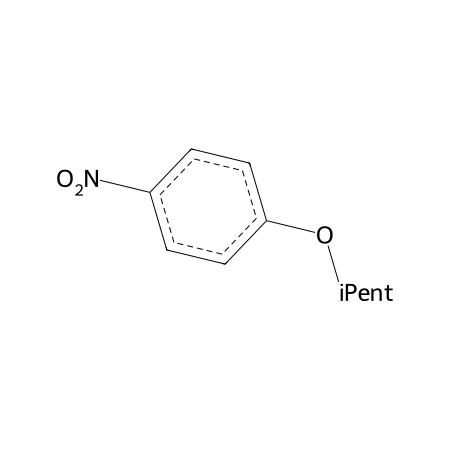 [CH2]CCC(C)Oc1ccc([N+](=O)[O-])cc1